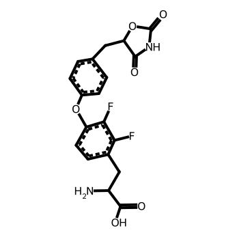 NC(Cc1ccc(Oc2ccc(CC3OC(=O)NC3=O)cc2)c(F)c1F)C(=O)O